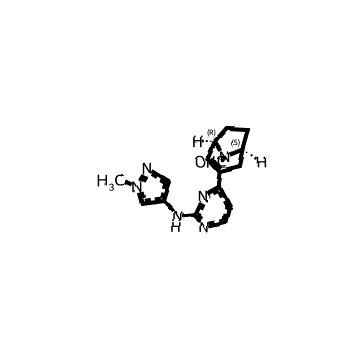 Cn1cc(Nc2nccc(C3=C[C@H]4CC[C@@H](C3)N4C=O)n2)cn1